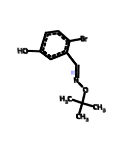 CC(C)(C)O/N=C/c1cc(O)ccc1Br